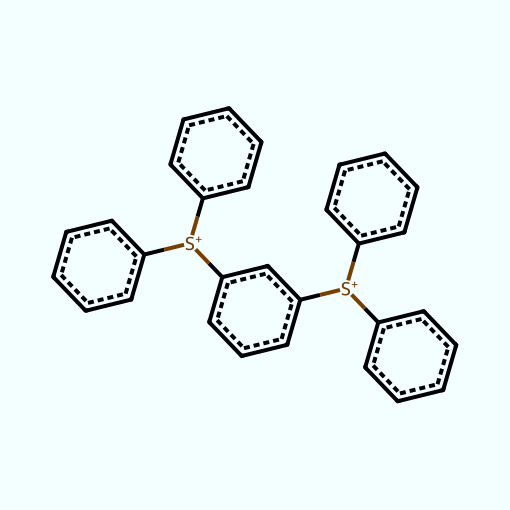 c1ccc([S+](c2ccccc2)c2cccc([S+](c3ccccc3)c3ccccc3)c2)cc1